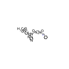 CS(=O)(=O)c1ccc(-c2nc3cnccn3c2NCC(=O)N2CCN(C(=O)/C=C/c3ccccc3)CC2)cc1